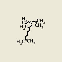 CCCN(CC(C)C)CC(C)CCCCC(C)C